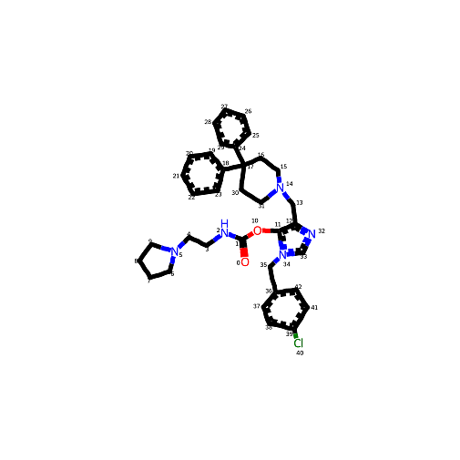 O=C(NCCN1CCCC1)Oc1c(CN2CCC(c3ccccc3)(c3ccccc3)CC2)ncn1Cc1ccc(Cl)cc1